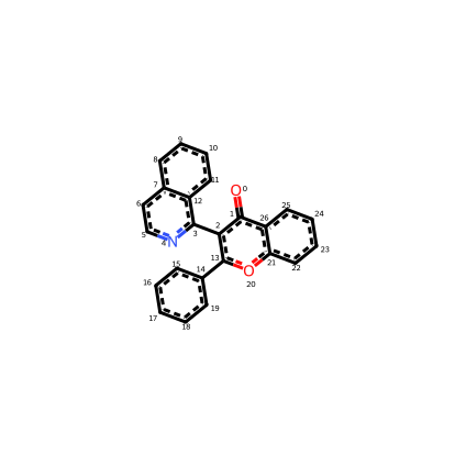 O=c1c(-c2nccc3ccccc23)c(-c2ccccc2)oc2ccccc12